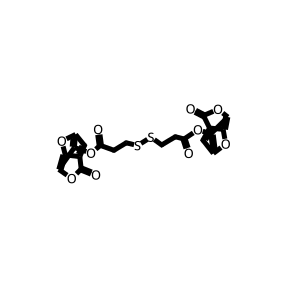 O=C(CCSSCCC(=O)Oc1c2c3oc1cc3C(=O)O2)Oc1c2c3oc1cc3C(=O)O2